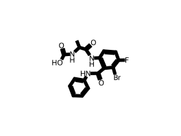 CC(NC(=O)O)C(=O)Nc1ccc(F)c(Br)c1C(=O)Nc1ccccc1